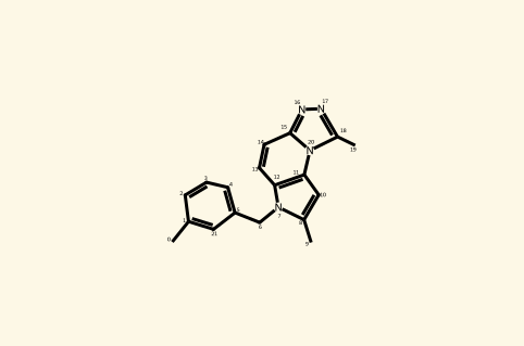 Cc1cccc(Cn2c(C)cc3c2ccc2nnc(C)n23)c1